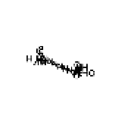 Cc1cc(N2CC(N3CCC(N4CCC(N5CC(N6CCC(n7nc(-c8ccc(Oc9ccccc9)cc8)c8c(N)ncnc87)CC6)C5)CC4)CC3)C2)ccc1C(=O)N(C=O)C1CCC(=O)NC1=O